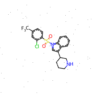 O=S(=O)(c1ccc(C(F)(F)F)cc1Cl)n1cc(C2CCCNC2)c2ccccc21